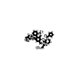 CCOCc1cc(CN2C(=O)[C@@]3(CCCN(C(=O)C4CCCC4)C3)N=C2CC(C)(C)C)ccc1-c1ccccc1S(=O)(=O)Nc1nocc1C